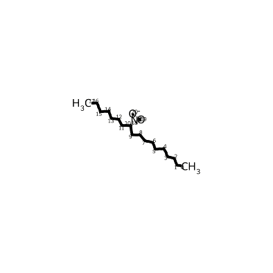 CCCCCCCCCCC(CCCCCCC)[N+](=O)[O-]